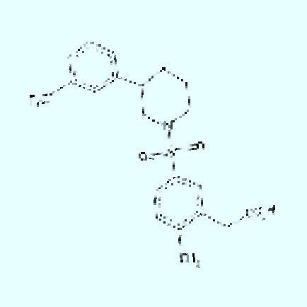 Cc1ccc(S(=O)(=O)N2CCCC(c3cccc(C(F)(F)F)c3)C2)cc1CC(=O)O